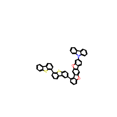 c1cc(-c2ccc3sc4c(-c5cccc6c5sc5ccccc56)cccc4c3c2)c2c(c1)oc1cc3c(cc12)oc1cc(-n2c4ccccc4c4ccccc42)ccc13